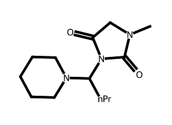 CCCC(N1CCCCC1)N1C(=O)CN(C)C1=O